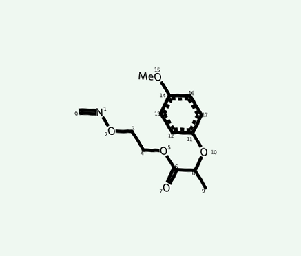 C=NOCCOC(=O)C(C)Oc1ccc(OC)cc1